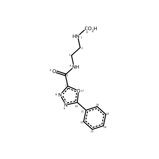 O=C(O)NCCNC(=O)c1nnc(-c2ccccc2)o1